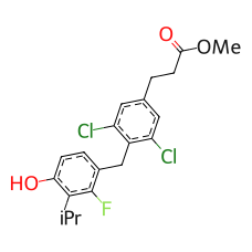 COC(=O)CCc1cc(Cl)c(Cc2ccc(O)c(C(C)C)c2F)c(Cl)c1